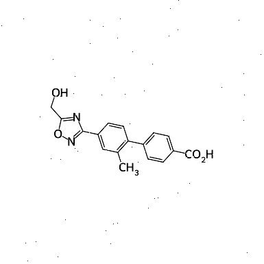 Cc1cc(-c2noc(CO)n2)ccc1-c1ccc(C(=O)O)cc1